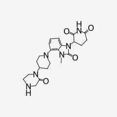 Cn1c(=O)n(C2CCC(=O)NC2=O)c2cccc(N3CCC(N4CCNCC4=O)CC3)c21